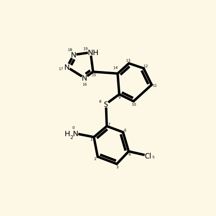 Nc1ccc(Cl)cc1Sc1ccccc1-c1nnn[nH]1